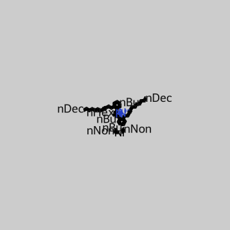 CCCCCCCCCC=[CH][Ni][CH]=CCCCCCCCCC.CCCCCCCCCCCCCCCCCC#CCCc1ccc(CCCC)cc1C1=C(CCCC)C(CCCCCC)=C(c2cc(CCCC)ccc2CCC#CCCCCCCCCCCCCCCCCC)[N+]1=[N-]